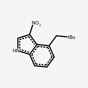 CC(C)(C)Cc1cccc2[nH]cc([N+](=O)[O-])c12